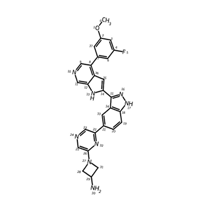 COc1cc(F)cc(-c2cncc3[nH]c(-c4n[nH]c5ccc(-c6cncc(N7CC(N)C7)n6)cc45)cc23)c1